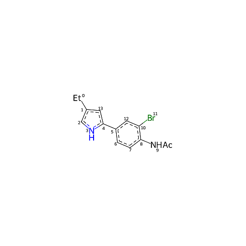 CCc1c[nH]c(-c2ccc(NC(C)=O)c(Br)c2)c1